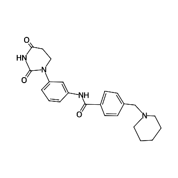 O=C1CCN(c2cccc(NC(=O)c3ccc(CN4CCCCC4)cc3)c2)C(=O)N1